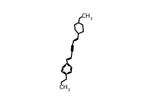 CCCc1ccc(C=CC#CC=CC2CCC(CC)CC2)cc1